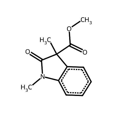 COC(=O)C1(C)C(=O)N(C)c2ccccc21